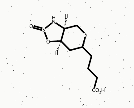 O=C(O)CCCC1C[C@H]2OS(=O)N[C@H]2CS1